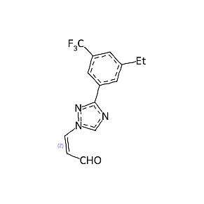 CCc1cc(-c2ncn(/C=C\C=O)n2)cc(C(F)(F)F)c1